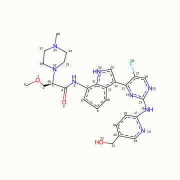 COC[C@H](C(=O)Nc1cccc2c(-c3nc(Nc4ccc(CO)cn4)ncc3F)c[nH]c12)N1CCN(C)CC1